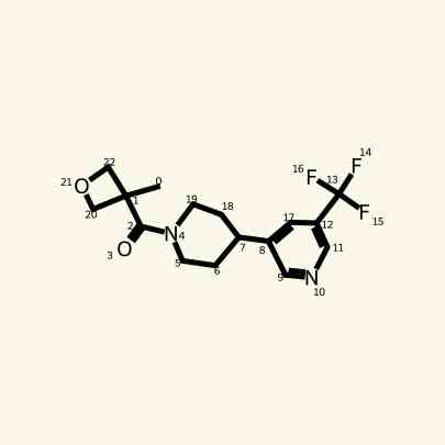 CC1(C(=O)N2CCC(c3cncc(C(F)(F)F)c3)CC2)COC1